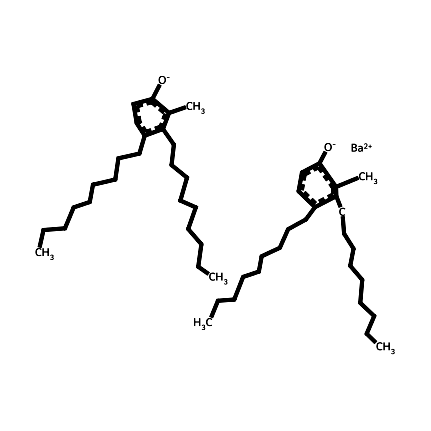 CCCCCCCCCc1ccc([O-])c(C)c1CCCCCCCCC.CCCCCCCCCc1ccc([O-])c(C)c1CCCCCCCCC.[Ba+2]